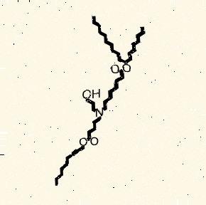 CCCCCCC#CCOC(=O)CCCCN(CCCO)CCCCCCCC(=O)OC(CCCCCCCC)CCCCCCCCCC